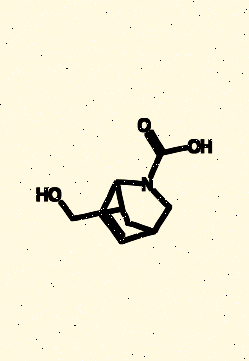 O=C(O)N1CC2C=CC1C(CO)C2